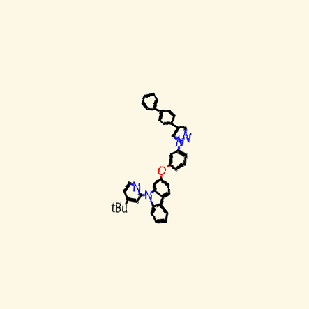 CC(C)(C)c1ccnc(-n2c3ccccc3c3ccc(Oc4cccc(-n5cc(-c6ccc(-c7ccccc7)cc6)cn5)c4)cc32)c1